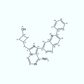 Nc1nccn2c(CC3CC(O)C3)nc(-c3ccc4ccc(-c5ccccc5)nc4c3)c12